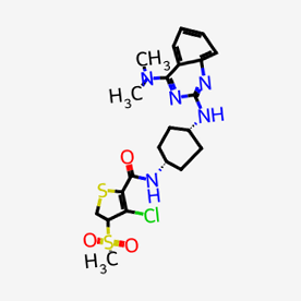 CN(C)c1nc(N[C@H]2CC[C@@H](NC(=O)C3=C(Cl)C(S(C)(=O)=O)CS3)CC2)nc2ccccc12